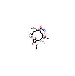 CO[C@H]1/C=C/C=C(/C)C(=O)NC2=CC(=O)C(NCCCI)=C(C[C@@H](C)C[C@H](OC)[C@H](O)[C@@H](C)/C=C(\C)[C@@H]1OC(N)=O)C2=O